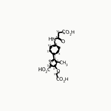 Cc1c(-c2ccc(NC(=O)CC(=O)O)cc2)sc(C(=O)O)c1OCC(=O)O